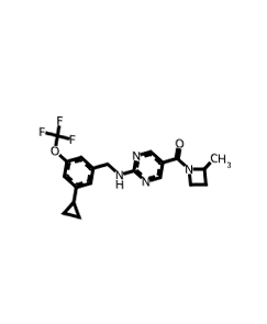 CC1CCN1C(=O)c1cnc(NCc2cc(OC(F)(F)F)cc(C3CC3)c2)nc1